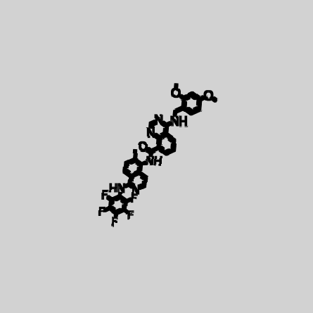 COc1ccc(CNc2ncnc3c(C(=O)Nc4c(C)ccc5c(Nc6c(F)c(F)c(F)c(F)c6F)nccc45)cccc23)c(OC)c1